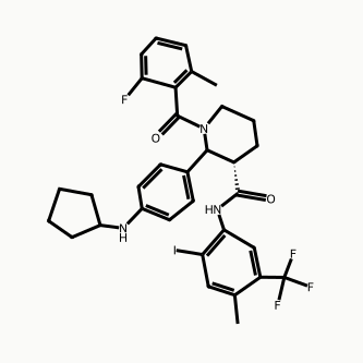 Cc1cc(I)c(NC(=O)[C@H]2CCCN(C(=O)c3c(C)cccc3F)C2c2ccc(NC3CCCC3)cc2)cc1C(F)(F)F